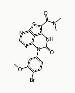 COc1cc(N2C(=O)Nc3c(C(=O)N(C)C)sc4ncnc2c34)ccc1Br